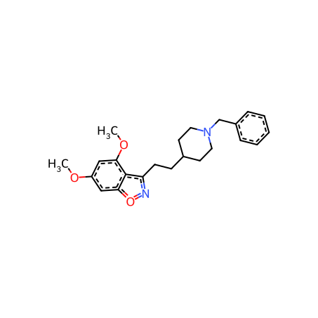 COc1cc(OC)c2c(CCC3CCN(Cc4ccccc4)CC3)noc2c1